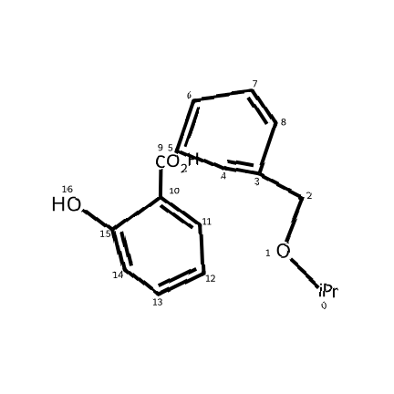 CC(C)OCc1ccccc1.O=C(O)c1ccccc1O